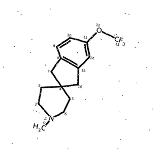 CN1CCC2(CC1)Cc1ccc(OC(F)(F)F)cc1C2